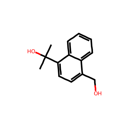 CC(C)(O)c1ccc(CO)c2ccccc12